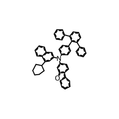 c1ccc(-c2cccc(-c3ccccc3)c2-c2ccc(N(c3cc(C4CCCCC4)c4ccccc4c3)c3ccc4c(c3)oc3ccccc34)cc2)cc1